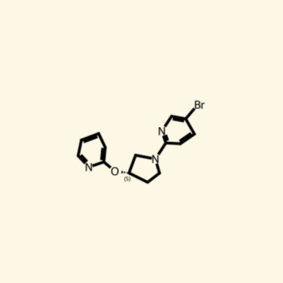 Brc1ccc(N2CC[C@H](Oc3ccccn3)C2)nc1